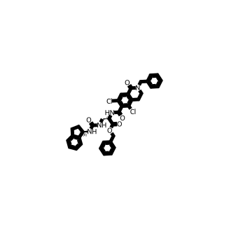 O=C(NC[C@H](NC(=O)c1c(Cl)cc2c(c1Cl)CCN(Cc1ccccc1)C2=O)C(=O)OCc1ccccc1)N[C@@H]1CCc2ccccc21